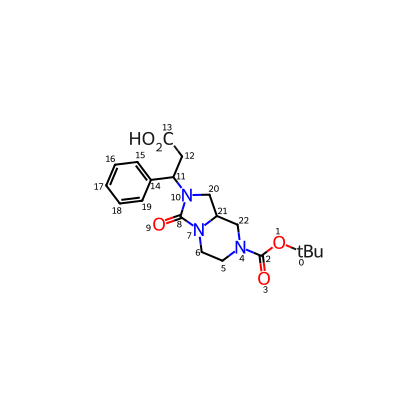 CC(C)(C)OC(=O)N1CCN2C(=O)N(C(CC(=O)O)c3ccccc3)CC2C1